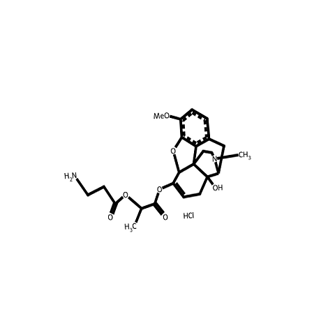 COc1ccc2c3c1OC1C(OC(=O)C(C)OC(=O)CCN)=CCC4(O)C(C2)N(C)CCC314.Cl